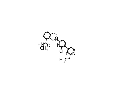 CCc1cc(-c2ccc(N3CCc4cccc(C(=O)NC)c4C3)nc2C)ccn1